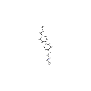 C=CCO[C@H]1CC[C@H]([C@H]2CC[C@H](CC/C=C/CC)CC2)CC1